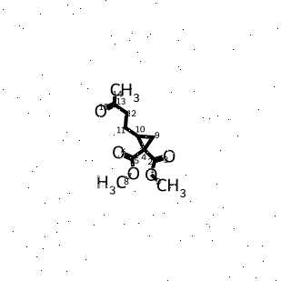 COC(=O)C1(C(=O)OC)CC1CCC(C)=O